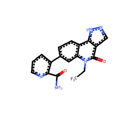 NC(=O)c1ncccc1-c1ccc2c3[nH]ncc3c(=O)n(CC(F)(F)F)c2c1